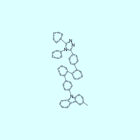 Cc1ccc2c(c1)c1ccccc1n2-c1ccc(-c2ccccc2-c2ccccc2-c2ccc(-c3nnc(-c4ccccc4)n3-c3ccccc3)cc2)cc1